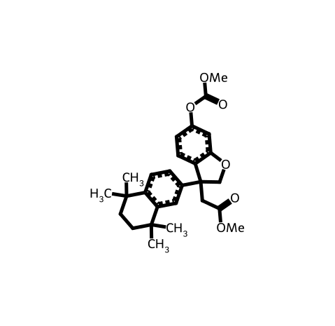 COC(=O)CC1(c2ccc3c(c2)C(C)(C)CCC3(C)C)COc2cc(OC(=O)OC)ccc21